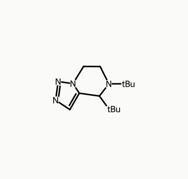 CC(C)(C)C1c2cnnn2CCN1C(C)(C)C